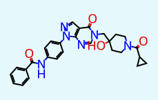 O=C(Nc1ccc(-n2ncc3c(=O)n(CC4(O)CCN(C(=O)C5CC5)CC4)cnc32)cc1)c1ccccc1